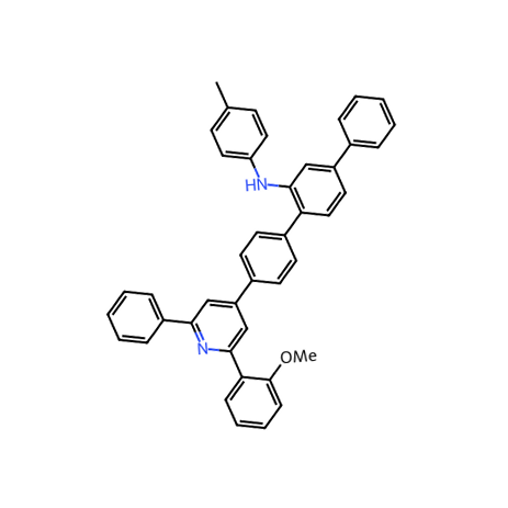 COc1ccccc1-c1cc(-c2ccc(-c3ccc(-c4ccccc4)cc3Nc3ccc(C)cc3)cc2)cc(-c2ccccc2)n1